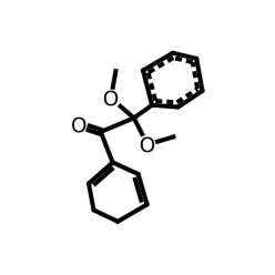 COC(OC)(C(=O)C1=CCCC=C1)c1ccccc1